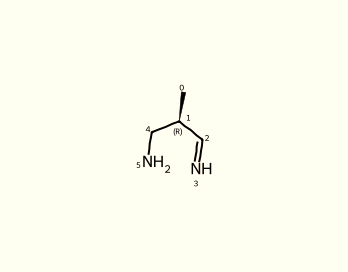 C[C@@H](C=N)CN